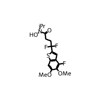 COc1cc2sc(C(F)(F)CCC(=O)N(O)C(C)C)cc2c(F)c1OC